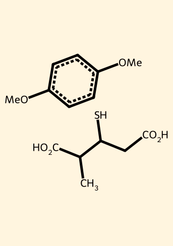 CC(C(=O)O)C(S)CC(=O)O.COc1ccc(OC)cc1